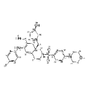 N=CC1=C(Nc2ccc(F)cc2)C=C2CCN(S(=O)(=O)c3ccc(N4CCOCC4)nc3)C[C@@]2(CN2CC[C@@H](O)C2)C1